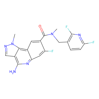 CN(Cc1ccc(F)nc1F)C(=O)c1cc2c(cc1F)nc(N)c1cnn(C)c12